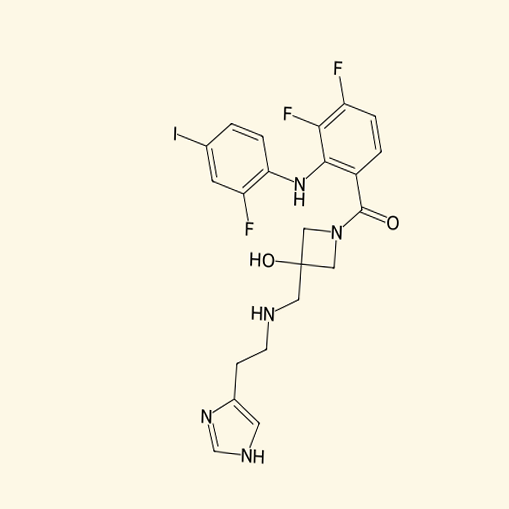 O=C(c1ccc(F)c(F)c1Nc1ccc(I)cc1F)N1CC(O)(CNCCc2c[nH]cn2)C1